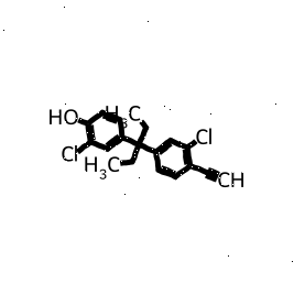 C#Cc1ccc(C(CC)(CC)c2ccc(O)c(Cl)c2)cc1Cl